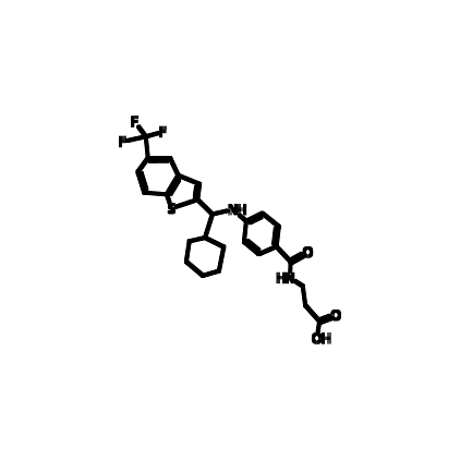 O=C(O)CCNC(=O)c1ccc(NC(c2cc3cc(C(F)(F)F)ccc3s2)C2CCCCC2)cc1